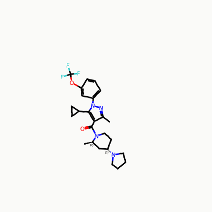 Cc1nn(-c2cccc(OC(F)(F)F)c2)c(C2CC2)c1C(=O)N1CC[C@H](N2CCCC2)C[C@H]1C